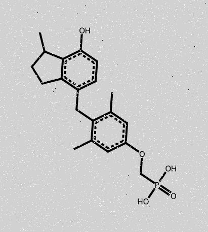 Cc1cc(OCP(=O)(O)O)cc(C)c1Cc1ccc(O)c2c1CCC2C